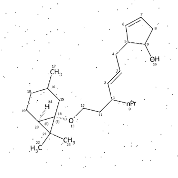 CCCC(C=CCC1C=CCC1O)CCO[C@@]12CC(C)CC[C@@H]1C2(C)C